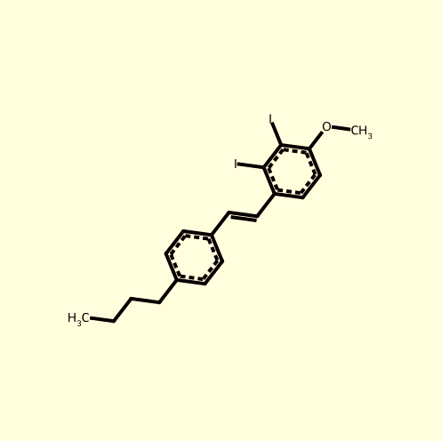 CCCCc1ccc(C=Cc2ccc(OC)c(I)c2I)cc1